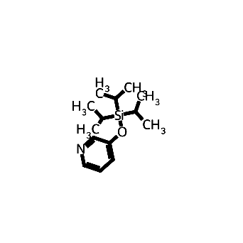 CC(C)[Si](Oc1cccnc1)(C(C)C)C(C)C